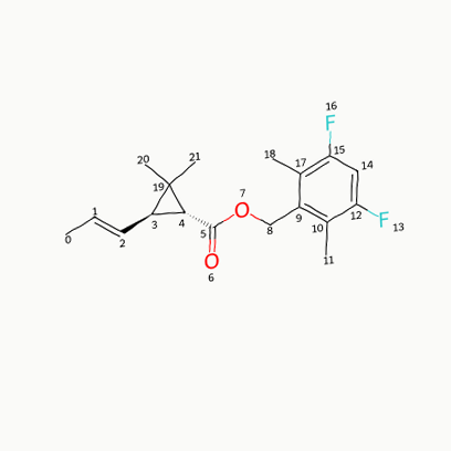 CC=C[C@@H]1[C@@H](C(=O)OCc2c(C)c(F)cc(F)c2C)C1(C)C